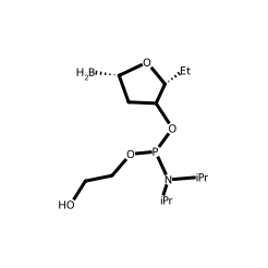 B[C@H]1CC(OP(OCCO)N(C(C)C)C(C)C)[C@@H](CC)O1